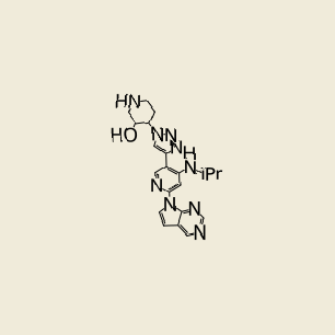 CC(C)Nc1cc(-n2ccc3cncnc32)ncc1-c1cn(C2CCNCC2O)nn1